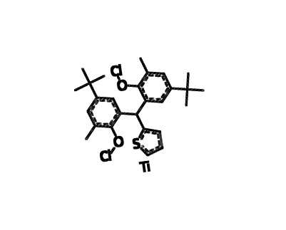 Cc1cc(C(C)(C)C)cc(C(c2cccs2)c2cc(C(C)(C)C)cc(C)c2OCl)c1OCl.[Ti]